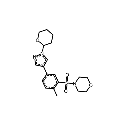 Cc1ccc(-c2cnn(C3CCCCO3)c2)cc1S(=O)(=O)N1CCOCC1